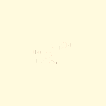 Cc1[nH]cc[n+]1CC(=O)c1cc(C(C)(C)C)c(O)c(C(C)(C)C)c1